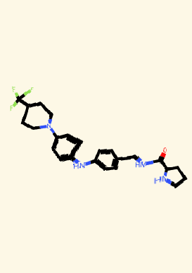 O=C(NCc1ccc(Nc2ccc(N3CCC(C(F)(F)F)CC3)cc2)cc1)C1CCCN1